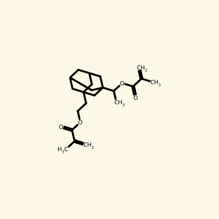 C=C(C)C(=O)OCCC12CC3CC(C1)CC(C(C)OC(=O)C(=C)C)(C3)C2